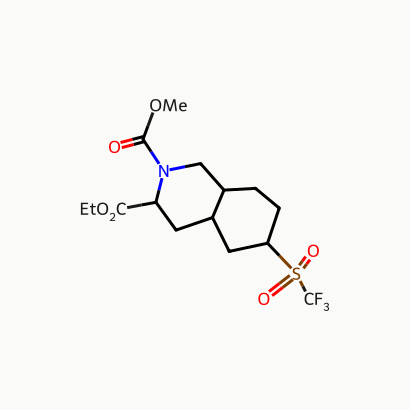 CCOC(=O)C1CC2CC(S(=O)(=O)C(F)(F)F)CCC2CN1C(=O)OC